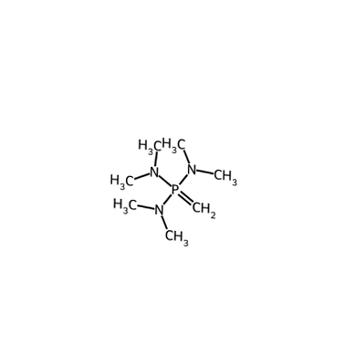 C=P(N(C)C)(N(C)C)N(C)C